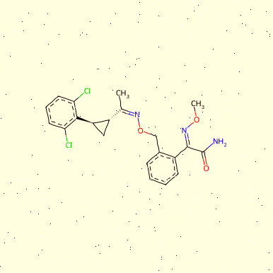 CON=C(C(N)=O)c1ccccc1CON=C(C)[C@@H]1C[C@H]1c1c(Cl)cccc1Cl